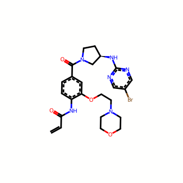 C=CC(=O)Nc1ccc(C(=O)N2CC[C@@H](Nc3ncc(Br)cn3)C2)cc1OCCN1CCOCC1